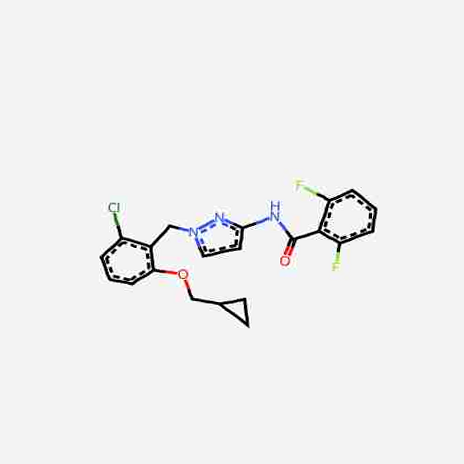 O=C(Nc1ccn(Cc2c(Cl)cccc2OCC2CC2)n1)c1c(F)cccc1F